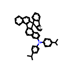 CC(C)c1ccc(N(c2ccc(C(C)C)cc2)c2ccc3c4c(ccc3c2)-c2c(ccc3ccccc23)C42c3ccccc3-c3ccccc32)cc1